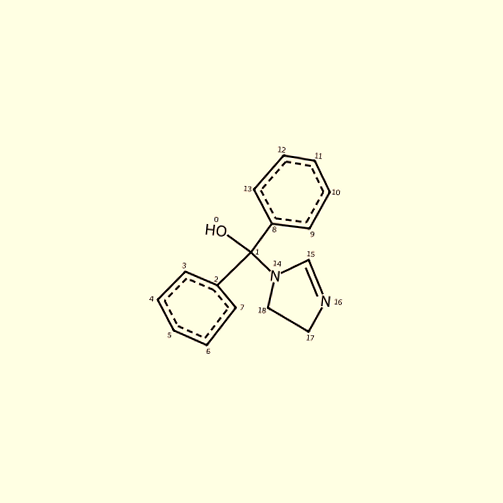 OC(c1ccccc1)(c1ccccc1)N1C=NCC1